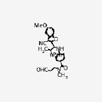 CCCCCC(C)C(Nc1ccc(C(=O)N(C)CCC=O)cc1)c1oc2ccc(OC)cc2c1C#N